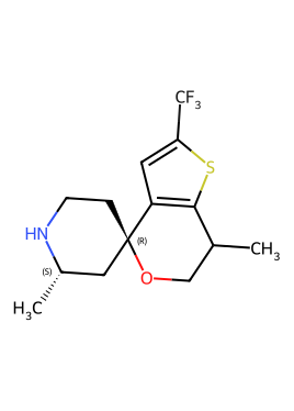 CC1CO[C@@]2(CCN[C@@H](C)C2)c2cc(C(F)(F)F)sc21